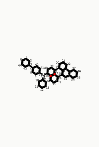 c1ccc(-c2ccc(N(c3ccccc3)c3ccc(-c4cccc5c4c(-c4ccccc4)cc4ccccc45)cc3)cc2)cc1